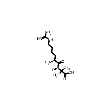 CC(C)(C(=O)O)N(F)C(=O)[C@@H](N)CCCCNC(=N)N